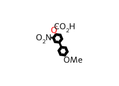 COc1ccc(-c2ccc(OC(=O)O)c([N+](=O)[O-])c2)cc1